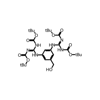 CC(C)(C)OC(=O)N=C(NC(=O)OC(C)(C)C)Nc1cc(CO)cc(NC(=NC(=O)OC(C)(C)C)NC(=O)OC(C)(C)C)c1